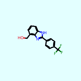 OCc1cccc2[nH]c(-c3ccc(C(F)(F)F)cc3)nc12